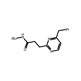 CC(C)Cc1ccnc(CCC(=O)NC(C)(C)C)n1